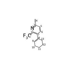 FC(F)(F)c1nc(I)ccc1C1=CCCCC1